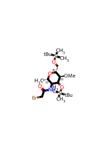 CO[C@H]1C(O[Si](C)(C)C(C)(C)C)C(NC(=O)CBr)[C@H](C)O[C@@H]1CO[Si](C)(C)C(C)(C)C